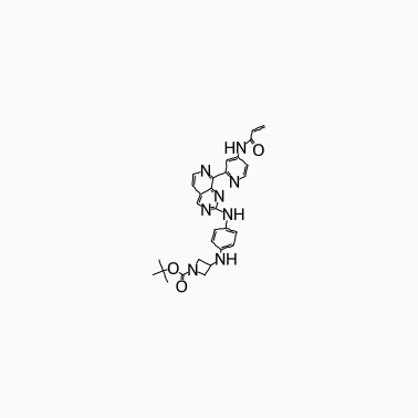 C=CC(=O)Nc1ccnc(-c2nccc3cnc(Nc4ccc(NC5CN(C(=O)OC(C)(C)C)C5)cc4)nc23)c1